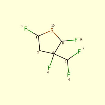 FC1CC(F)(C(F)F)C(F)S1